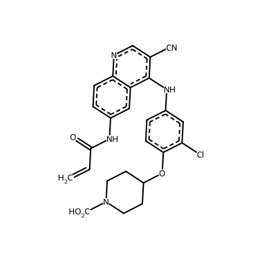 C=CC(=O)Nc1ccc2ncc(C#N)c(Nc3ccc(OC4CCN(C(=O)O)CC4)c(Cl)c3)c2c1